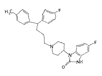 Cc1ccc(C(CCCN2CCC(n3c(=O)[nH]c4cc(F)ccc43)CC2)c2ccc(F)cc2)cc1